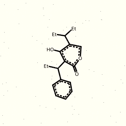 CCC(CC)c1coc(=O)c(C(CC)c2ccccc2)c1O